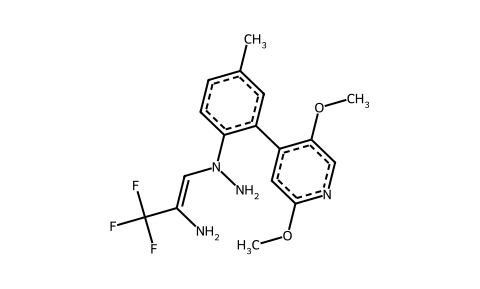 COc1cc(-c2cc(C)ccc2N(N)/C=C(\N)C(F)(F)F)c(OC)cn1